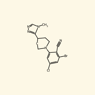 Cn1cnnc1C1CCN(c2cc(Cl)cc(Br)c2C#N)CC1